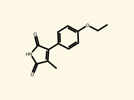 CCOc1ccc(C2=C(C)C(=O)NC2=O)cc1